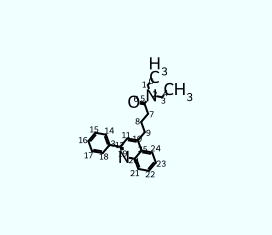 CCN(CC)C(=O)CCCc1cc(-c2ccccc2)nc2ccccc12